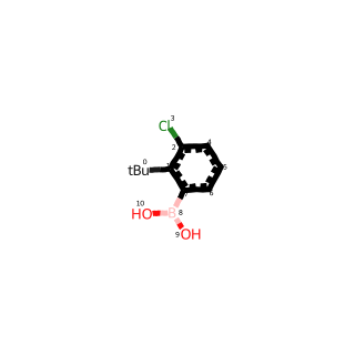 CC(C)(C)c1c(Cl)cccc1B(O)O